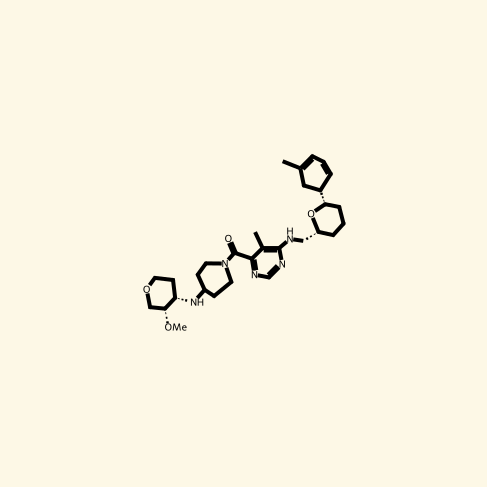 CO[C@@H]1COCC[C@@H]1NC1CCN(C(=O)c2ncnc(NC[C@H]3CCC[C@@H](C4C=CC=C(C)C4)O3)c2C)CC1